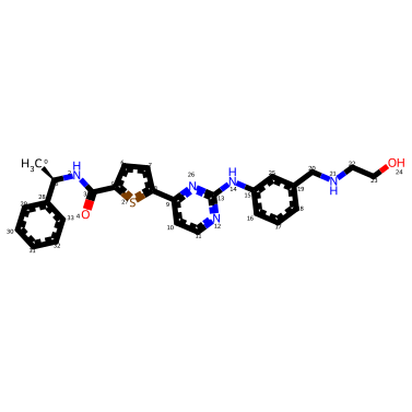 C[C@@H](NC(=O)c1ccc(-c2ccnc(Nc3cccc(CNCCO)c3)n2)s1)c1ccccc1